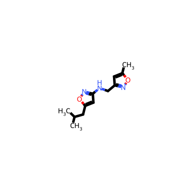 Cc1cc(CNc2cc(CC(C)C)on2)no1